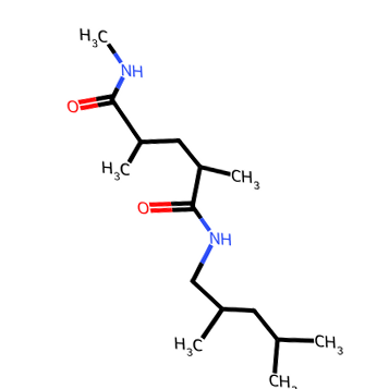 CNC(=O)C(C)CC(C)C(=O)NCC(C)CC(C)C